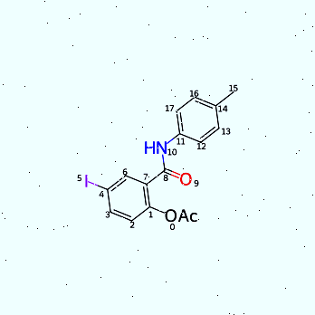 CC(=O)Oc1ccc(I)cc1C(=O)Nc1ccc(C)cc1